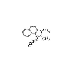 CC1c2ccc3ccccc3c2[N]([Ti+2])C1C.[Cl-].[Cl-]